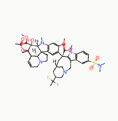 CC[C@]12C=CCN3CC[C@@]4(c5cc([C@@]6(C(=O)OC)C[C@H]7CC(C(C)(F)F)CN(Cc8c6[nH]c6ccc(S(=O)(=O)N(C)C)cc86)C7)c(OC)cc5N(C)[C@H]4[C@@](O)(C(=O)OC)[C@@H]1OC(C)=O)[C@@H]32